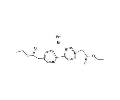 CCOC(=O)C[n+]1ccc(-c2cc[n+](CC(=O)OCC)cc2)cc1.[Br-].[Br-]